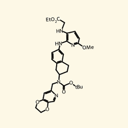 CCOC(=O)CNc1ccc(OC)nc1Nc1ccc2c(c1)CCC(N(Cc1cc3c(cn1)OCCO3)C(=O)OC(C)(C)C)C2